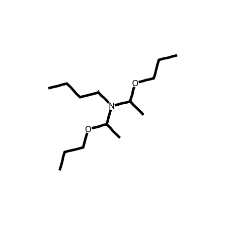 CCC[CH]N(C(C)OCCC)C(C)OCCC